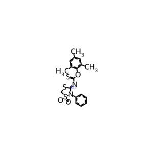 Cc1cc(C)c(OC(=S)/N=C2\SCS(=O)(=O)N2c2ccccc2)c(C)c1